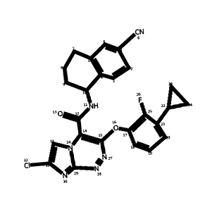 N#Cc1ccc2c(c1)CCCC2NC(=O)c1c(Oc2cccc(C3CC3)c2F)nnc2nc(Cl)cn12